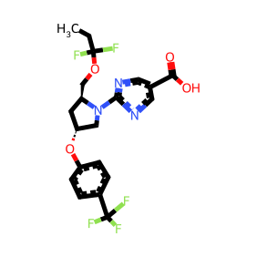 CCC(F)(F)OC[C@@H]1C[C@@H](Oc2ccc(C(F)(F)F)cc2)CN1c1ncc(C(=O)O)cn1